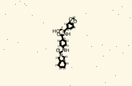 O=C(N[C@H](CO)c1ccc2c(c1)OCO2)c1ccc(NC(=O)N2Cc3ccccc3C2)cc1